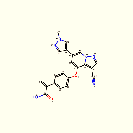 C=C(C(N)=O)c1ccc(Oc2cc(-c3cnn(C)c3)cn3ncc(C#N)c23)cc1